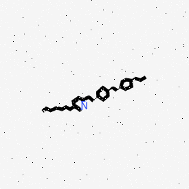 CCCCCCCc1ccc(CC[C@H]2CC[C@H](CC[C@H]3CC[C@H](CCC)CC3)CC2)nc1